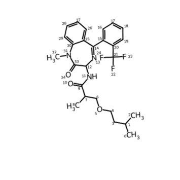 CC(C)CCOCC(C)C(=O)NC1N=C(c2ccccc2C(F)(F)F)c2ccccc2N(C)C1=O